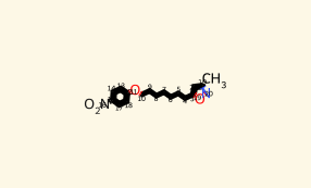 Cc1cc(CCCCCCCOc2ccc([N+](=O)[O-])cc2)on1